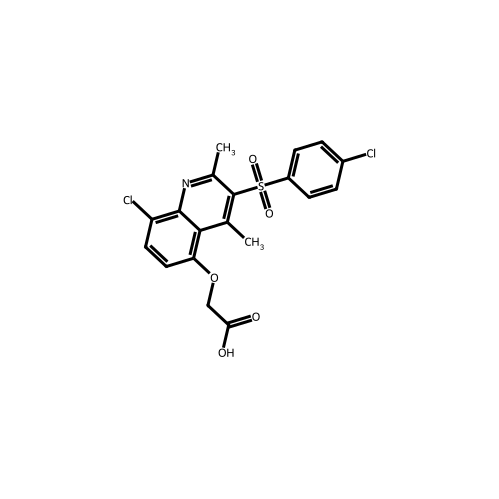 Cc1nc2c(Cl)ccc(OCC(=O)O)c2c(C)c1S(=O)(=O)c1ccc(Cl)cc1